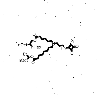 CCCCCCCCC(CCCCCC)COC(=O)CCCCCN(CCCCCCCC(=O)OC(CC)CCCCCCCC)CCCNc1c(C(C)C)c(=O)c1=O